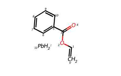 C=COC(=O)c1ccccc1.[PbH2]